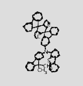 CC1(C)c2ccccc2-c2ccc(N(c3ccc4c(c3)-c3ccccc3C43c4ccccc4C4(c5ccccc5-c5ccccc54)c4ccccc43)c3cccc4c3sc3ccccc34)cc21